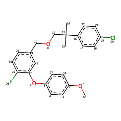 COc1ccc(Oc2cc(COCC(C)(C)c3ccc(Cl)cc3)ccc2F)cc1